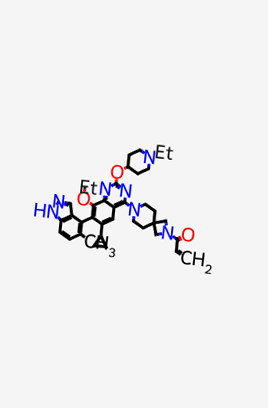 C=CC(=O)N1CC2(CCN(c3nc(OC4CCN(CC)CC4)nc4c(OCC)c(-c5c(C)ccc6[nH]ncc56)c(C5CC5)cc34)CC2)C1